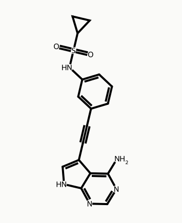 Nc1ncnc2[nH]cc(C#Cc3cccc(NS(=O)(=O)C4CC4)c3)c12